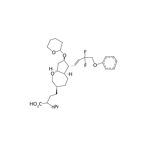 CCCC(CC[C@@H]1CC[C@@H]2[C@@H](C=CC(F)(F)COc3ccccc3)[C@H](OC3CCCCO3)C[C@@H]2OC1)C(=O)O